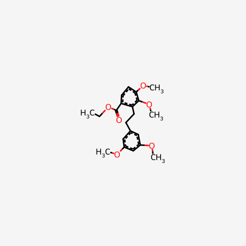 CCOC(=O)c1ccc(OC)c(OC)c1CCc1cc(OC)cc(OC)c1